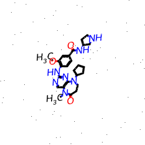 COc1cc(C(=O)N[C@H]2CCNC2)ccc1Nc1ncc2c(n1)N(C1CCCC1)CCC(=O)N2C